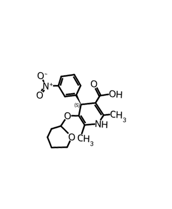 CC1=C(OC2CCCCO2)[C@@H](c2cccc([N+](=O)[O-])c2)C(C(=O)O)=C(C)N1